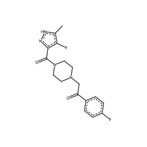 Cc1[nH]nc(C(=O)N2CCN(CC(=O)c3ccc(F)cc3)CC2)c1F